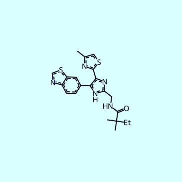 CCC(C)(C)C(=O)NCc1nc(-c2nc(C)cs2)c(-c2ccc3ncsc3c2)[nH]1